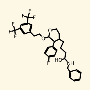 OC(CCCC1CCOC(OCCc2cc(C(F)(F)F)cc(C(F)(F)F)c2)C1c1ccc(F)cc1)NCc1ccccc1